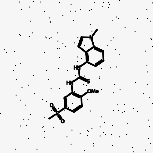 COc1ccc(S(C)(=O)=O)cc1NC(=S)Nc1cccc2c1ccn2C